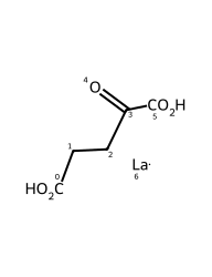 O=C(O)CCC(=O)C(=O)O.[La]